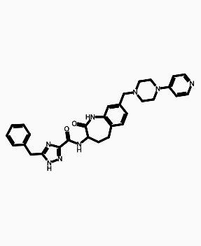 O=C(NC1CCc2ccc(CN3CCN(c4ccncc4)CC3)cc2NC1=O)c1n[nH]c(Cc2ccccc2)n1